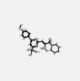 CN/C(=C\c1nc(-c2ccc(OC)cc2)cc(C(F)(F)F)n1)C(=O)N1CCCCC1